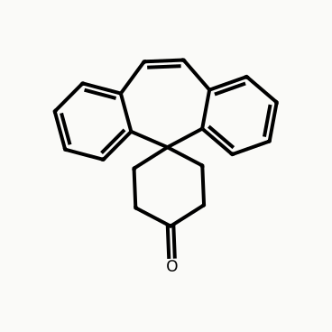 O=C1CCC2(CC1)c1ccccc1C=Cc1ccccc12